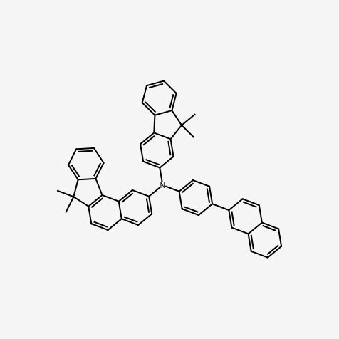 CC1(C)c2ccccc2-c2ccc(N(c3ccc(-c4ccc5ccccc5c4)cc3)c3ccc4ccc5c(c4c3)-c3ccccc3C5(C)C)cc21